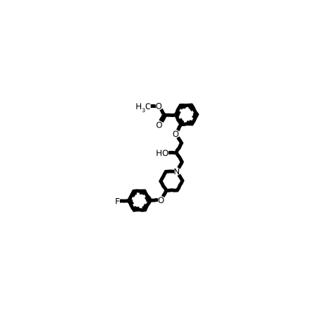 COC(=O)c1ccccc1OCC(O)CN1CCC(Oc2ccc(F)cc2)CC1